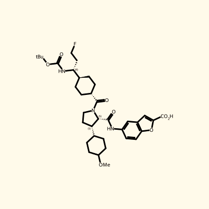 COC1CCC([C@@H]2CCN(C(=O)[C@H]3CC[C@H]([C@@H](CCF)NC(=O)OC(C)(C)C)CC3)[C@@H]2C(=O)Nc2ccc3oc(C(=O)O)cc3c2)CC1